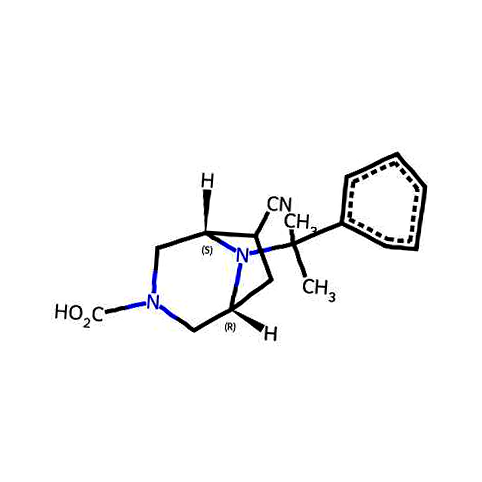 CC(C)(c1ccccc1)N1[C@@H]2CC(C#N)[C@H]1CN(C(=O)O)C2